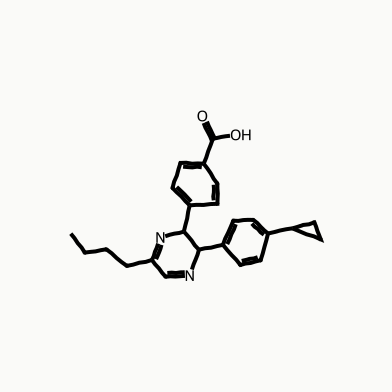 CCCCC1=NC(c2ccc(C(=O)O)cc2)C(c2ccc(C3CC3)cc2)N=C1